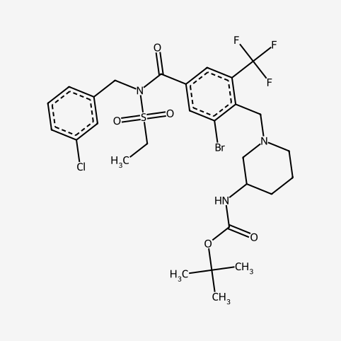 CCS(=O)(=O)N(Cc1cccc(Cl)c1)C(=O)c1cc(Br)c(CN2CCCC(NC(=O)OC(C)(C)C)C2)c(C(F)(F)F)c1